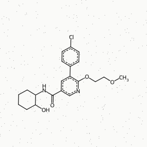 COCCOc1ncc(C(=O)NC2CCCCC2O)cc1-c1ccc(Cl)cc1